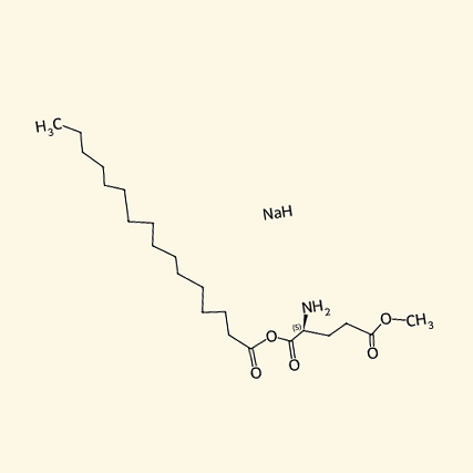 CCCCCCCCCCCCCCCC(=O)OC(=O)[C@@H](N)CCC(=O)OC.[NaH]